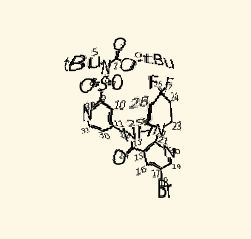 CC(C)(C)OC(=O)N(C(C)(C)C)S(=O)(=O)c1cc(NC(=O)c2cc(Br)cnc2N2CCC(F)(F)CC2)ccn1